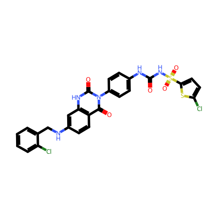 O=C(Nc1ccc(-n2c(=O)[nH]c3cc(NCc4ccccc4Cl)ccc3c2=O)cc1)NS(=O)(=O)c1ccc(Cl)s1